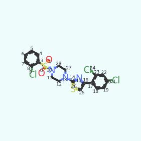 O=S(=O)(c1ccccc1Cl)N1CCN(c2nc(-c3ccc(Cl)cc3Cl)cs2)CC1